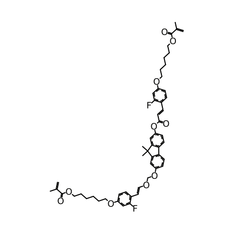 C=C(C)C(=O)OCCCCCCOc1ccc(C=COCOc2ccc3c(c2)C(C)(C)c2cc(OC(=O)C=Cc4ccc(OCCCCCCOC(=O)C(=C)C)cc4F)ccc2-3)c(F)c1